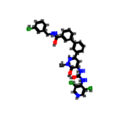 CCn1nc(-c2cccc(-c3cccc(C(=O)NCc4cccc(Cl)c4)c3)c2)cc(NC(=O)Nc2c(Cl)cncc2Cl)c1=O